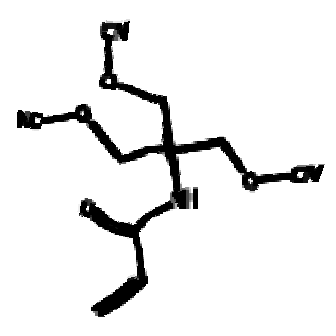 C=CC(=O)NC(COC#N)(COC#N)COC#N